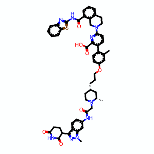 Cc1cc(OCCC[C@H]2CCN(CC(=O)Nc3ccc4c(C5CCC(=O)NC5=O)nn(C)c4c3)[C@@H](C)C2)ccc1-c1ccc(N2CCc3cccc(C(=O)Nc4nc5ccccc5s4)c3C2)nc1C(=O)O